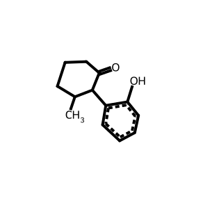 CC1CCCC(=O)C1c1ccccc1O